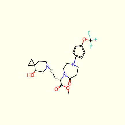 COC(=O)[C@H](CCN1CCC2(CC2)[C@H](O)C1)N1CCN(c2ccc(OC(F)(F)F)cc2)CCC1=O